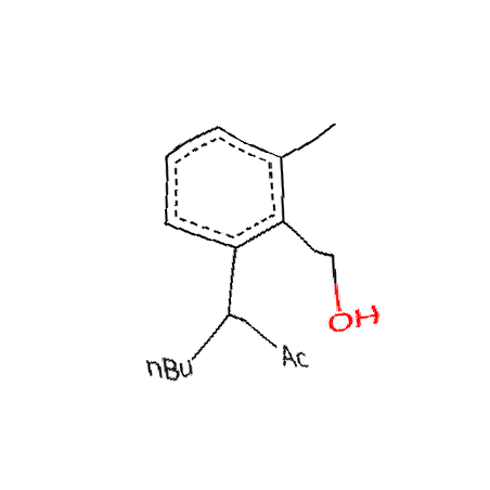 CCCCC(C(C)=O)c1cccc(C)c1CO